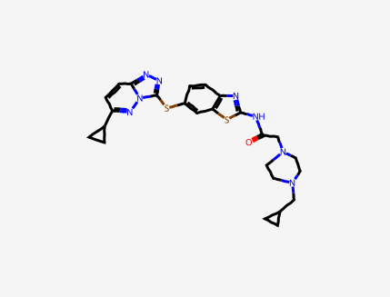 O=C(CN1CCN(CC2CC2)CC1)Nc1nc2ccc(Sc3nnc4ccc(C5CC5)nn34)cc2s1